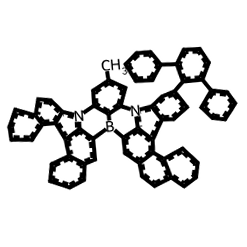 Cc1cc2c3c(c1)-n1c4ccc5ccccc5c4c4c5ccccc5cc(c41)B3c1cc3ccc4ccccc4c3c3c4ccc(-c5c(-c6ccccc6)cccc5-c5ccccc5)cc4n-2c13